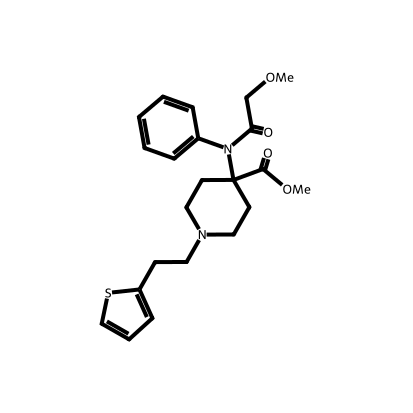 COCC(=O)N(c1ccccc1)C1(C(=O)OC)CCN(CCc2cccs2)CC1